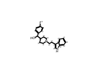 OC(c1ccc(F)cc1)C1CCN(CCc2c[nH]c3ccccc23)CC1